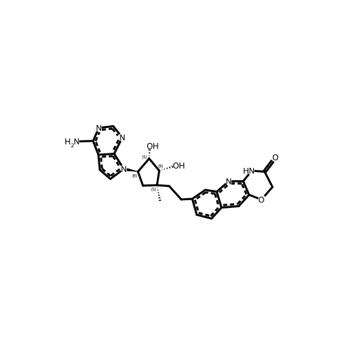 C[C@]1(CCc2ccc3cc4c(nc3c2)NC(=O)CO4)C[C@@H](n2ccc3c(N)ncnc32)[C@H](O)[C@@H]1O